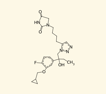 CCC(O)(Cn1nncc1CCCCN1CC(=O)NC1=O)c1ccc(F)c(OCC2CC2)c1